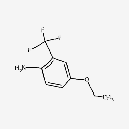 CCOc1ccc(N)c(C(F)(F)F)c1